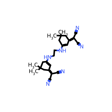 CC1(C)CC(NCCNC2=CC(=C(C#N)C#N)CC(C)(C)C2)=CC(=C(C#N)C#N)C1